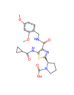 COc1ccc(CNC(=O)c2nc([C@H]3CCCN3C(=O)O)sc2NC(=O)C2CC2)c(OC)c1